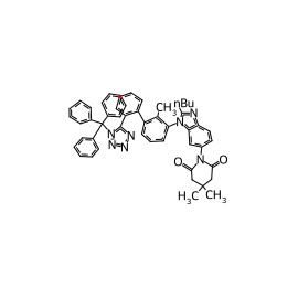 CCCCc1nc2ccc(N3C(=O)CC(C)(C)CC3=O)cc2n1-c1cccc(-c2ccccc2-c2nnnn2C(c2ccccc2)(c2ccccc2)c2ccccc2)c1C